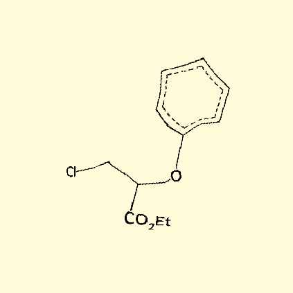 CCOC(=O)C(CCl)Oc1ccccc1